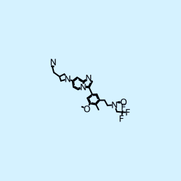 COc1cc(-c2cnc3cc(N4CC(CC#N)C4)ccn23)cc(CCN(C=O)CC(F)(F)F)c1C